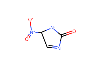 O=C1[N]C([N+](=O)[O-])C=N1